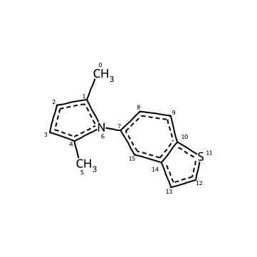 Cc1ccc(C)n1-c1ccc2sccc2c1